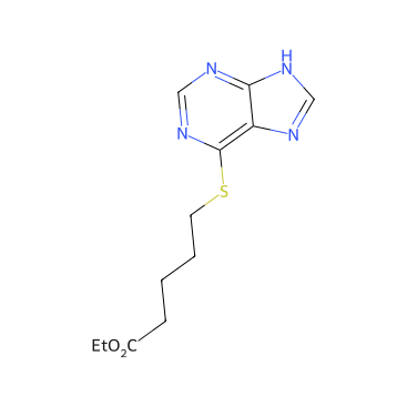 CCOC(=O)CCCCSc1ncnc2[nH]cnc12